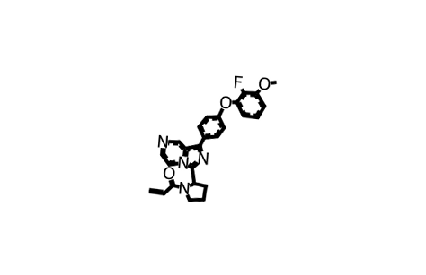 C=CC(=O)N1CCCC1c1nc(-c2ccc(Oc3cccc(OC)c3F)cc2)c2cnccn12